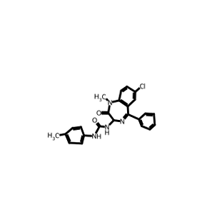 Cc1ccc(NC(=O)NC2N=C(c3ccccc3)c3cc(Cl)ccc3N(C)C2=O)cc1